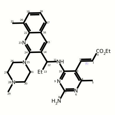 CCOC(=O)/C=C/c1c(C)nc(N)nc1NC(CC)c1cc2cccc(C)c2nc1N1CCN(C)CC1